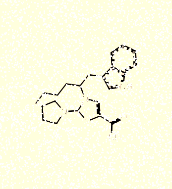 CCCCC(Cc1c[nH]c2ccccc12)N1C=C(C(N)=O)SC1N1CCCC1